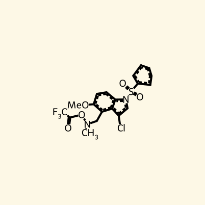 COc1ccc2c(c(Cl)cn2S(=O)(=O)c2ccccc2)c1CN(C)OC(=O)C(F)(F)F